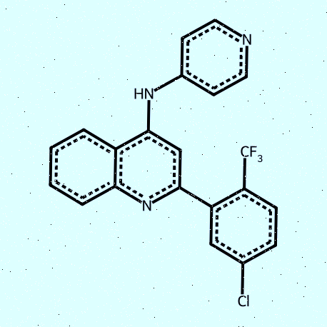 FC(F)(F)c1ccc(Cl)cc1-c1cc(Nc2ccncc2)c2ccccc2n1